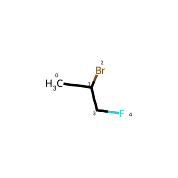 CC(Br)CF